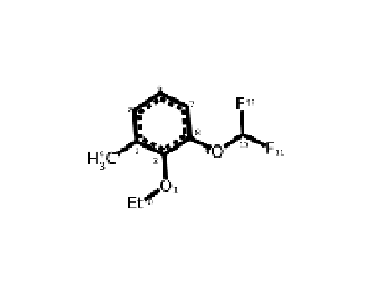 CCOc1c(C)cccc1OC(F)F